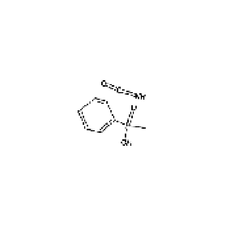 CP(=O)(O)c1ccccc1.N=C=O